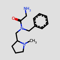 CN1CCCC1CN(Cc1ccccc1)C(=O)CN